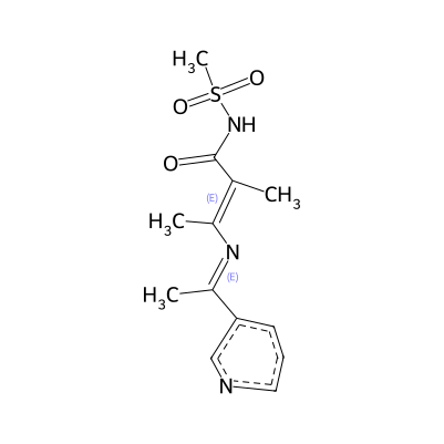 C/C(=N\C(C)=C(/C)C(=O)NS(C)(=O)=O)c1cccnc1